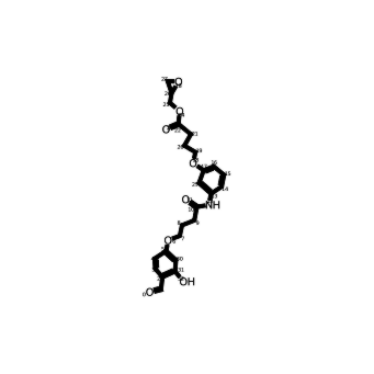 O=Cc1ccc(OCCCC(=O)Nc2cccc(OCCCC(=O)OCC3CO3)c2)cc1O